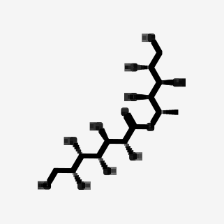 C[C@H](OC(=O)[C@H](O)[C@H](O)[C@H](O)[C@@H](O)[C@H](O)CO)[C@@H](O)[C@H](O)[C@H](O)CO